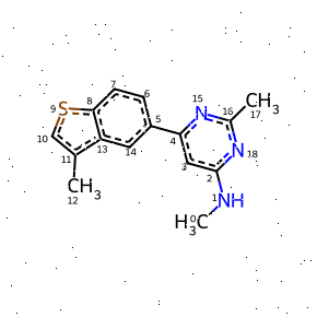 CNc1cc(-c2ccc3scc(C)c3c2)nc(C)n1